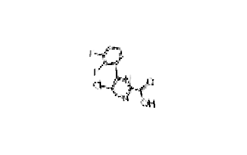 O=C(O)c1ncc(Cl)c(-c2cccc(F)c2F)n1